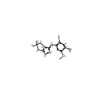 COc1cc(N=c2snc3n2CC(C)(C)C3)c(F)cc1Br